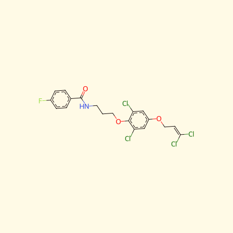 O=C(NCCCOc1c(Cl)cc(OCC=C(Cl)Cl)cc1Cl)c1ccc(F)cc1